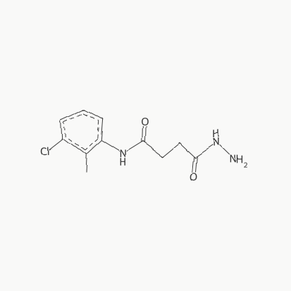 Cc1c(Cl)cccc1NC(=O)CCC(=O)NN